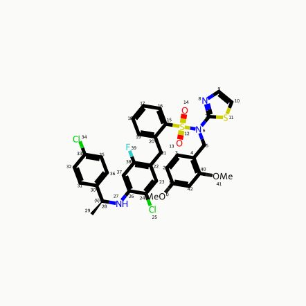 COc1ccc(CN(c2nccs2)S(=O)(=O)c2ccccc2Cc2cc(Cl)c(N[C@@H](C)c3ccc(Cl)cc3)cc2F)c(OC)c1